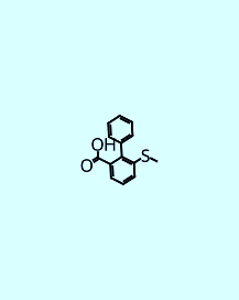 CSc1cccc(C(=O)O)c1-c1ccccc1